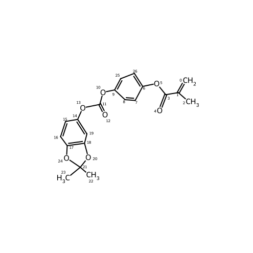 C=C(C)C(=O)Oc1ccc(OC(=O)Oc2ccc3c(c2)OC(C)(C)O3)cc1